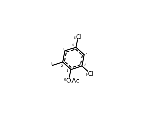 CC(=O)Oc1c(C)cc(Cl)cc1Cl